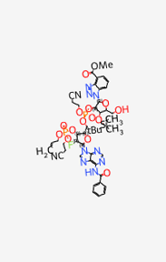 C=CCOP(=O)(OCCC#N)O[C@H]1[C@@H](F)[C@H](n2cnc3c(NC(=O)c4ccccc4)ncnc32)O[C@@H]1COP(=O)(OCCC#N)O[C@@H]1C(O[Si](C)(C)C(C)(C)C)C(CO)O[C@H]1n1nnc2c(C(=O)OC)cccc21